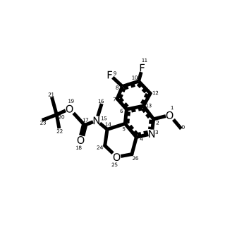 COc1nc2c(c3cc(F)c(F)cc13)C(N(C)C(=O)OC(C)(C)C)COC2